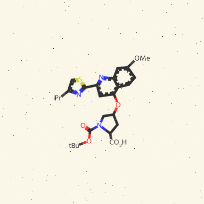 COc1ccc2c(OC3CC(C(=O)O)N(C(=O)OC(C)(C)C)C3)cc(-c3nc(C(C)C)cs3)nc2c1